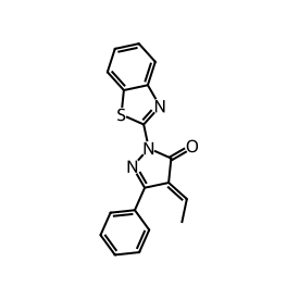 C/C=C1/C(=O)N(c2nc3ccccc3s2)N=C1c1ccccc1